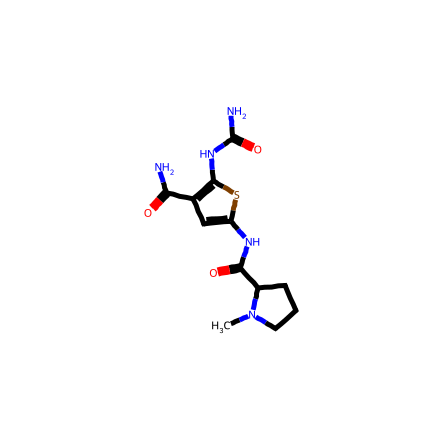 CN1CCCC1C(=O)Nc1cc(C(N)=O)c(NC(N)=O)s1